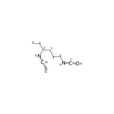 CCC(CCCN=C=O)N=C=S